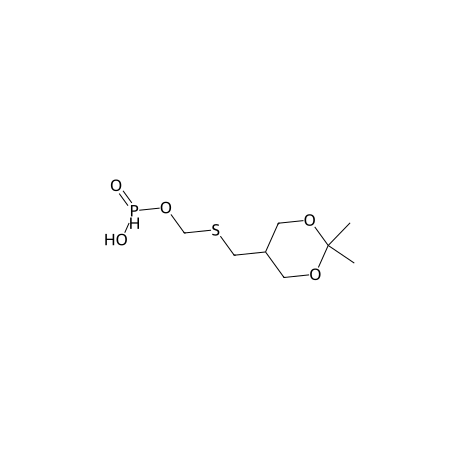 CC1(C)OCC(CSCO[PH](=O)O)CO1